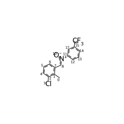 Cc1c(Cl)cccc1C=[N+]([O-])c1cccc(C(F)(F)F)c1